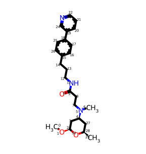 CO[C@H]1C[C@@H](N(C)CCC(=O)NCCCc2ccc(-c3cccnc3)cc2)C[C@@H](C)O1